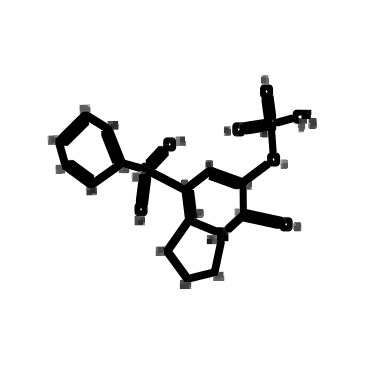 O=c1c(OS(=O)(=O)C(F)(F)F)cc(S(=O)(=O)c2ccccc2)c2n1CCC2